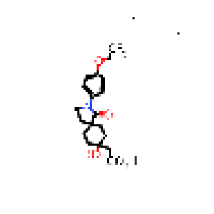 O=C(O)CC1(O)CCC2(CCN(c3ccc(OCC(F)(F)F)cc3)C2=O)CC1